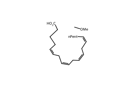 CCCCC/C=C\C/C=C\C/C=C\C/C=C\CCCC(=O)O.COC